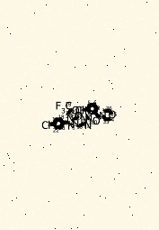 O=C(c1cccc(Cl)c1-n1cnc(Cn2nc(-c3ccc(Cl)cc3)n(CC(O)C(F)(F)F)c2=O)n1)N1CCOCC1